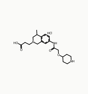 CC1CN(CCC(=O)O)Cc2cc(NC(=O)COC3CCNCC3)ccc21.Cl